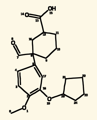 COc1ccc(C2(C=O)CCCC(C(=O)O)C2)cc1OC1CCCC1